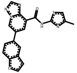 Cc1csc(NC(=O)c2cc(-c3ccc4occc4c3)cn3ncnc23)n1